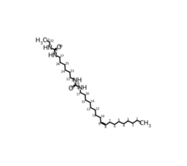 CCCCCCCC/C=C\CCCCCCCCNC(=O)NCCCCCCNC(=O)NCC